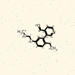 CCc1ccc(OCOC)cc1-c1cnccc1C=O